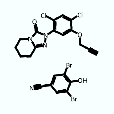 C#CCOc1cc(-n2nc3n(c2=O)CCCC3)c(Cl)cc1Cl.N#Cc1cc(Br)c(O)c(Br)c1